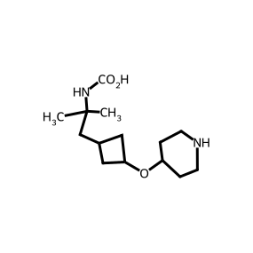 CC(C)(CC1CC(OC2CCNCC2)C1)NC(=O)O